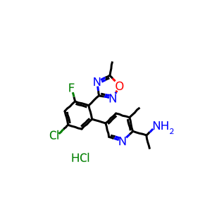 Cc1nc(-c2c(F)cc(Cl)cc2-c2cnc(C(C)N)c(C)c2)no1.Cl